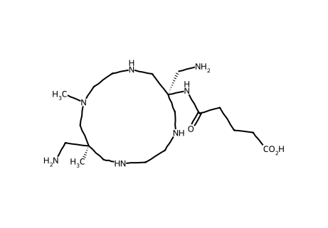 CN1CCNC[C@@](CN)(NC(=O)CCCC(=O)O)CNCCNC[C@@](C)(CN)C1